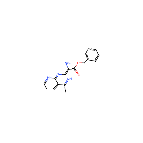 C=C(C(C)=N)C(/N=C\C)=N\C=C(/N)C(=O)OCc1ccccc1